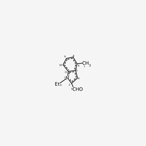 CCn1c(C=O)cc2c(C)cccc21